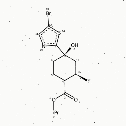 CC(C)OC(=O)[C@@H]1CC[C@](O)(c2ncc(Br)s2)C[C@H]1C